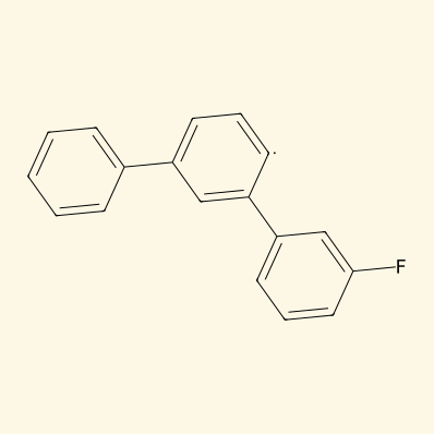 Fc1cccc(-c2[c]ccc(-c3ccccc3)c2)c1